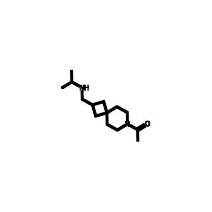 CC(=O)N1CCC2(CC1)CC(CNC(C)C)C2